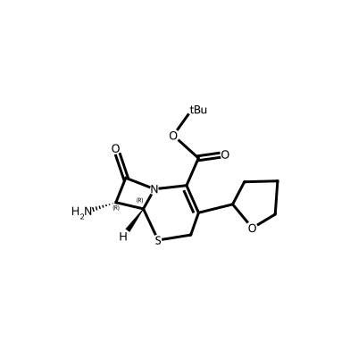 CC(C)(C)OC(=O)C1=C(C2CCCO2)CS[C@@H]2[C@H](N)C(=O)N12